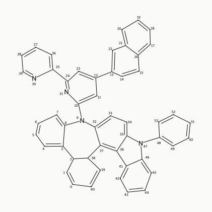 C1=CC2c3ccccc3N(c3cc(-c4ccc5ccccc5c4)cc(-c4ccccn4)n3)c3ccc4c(c3C2C=C1)c1ccccc1n4-c1ccccc1